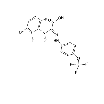 O=C(O)/C(=N/Nc1ccc(OC(F)(F)F)cc1)C(=O)c1c(F)ccc(Br)c1F